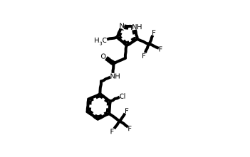 Cc1n[nH]c(C(F)(F)F)c1CC(=O)NCc1cccc(C(F)(F)F)c1Cl